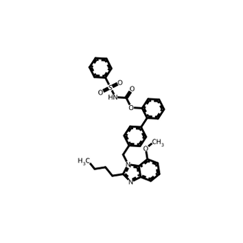 CCCCc1nc2cccc(OC)c2n1Cc1ccc(-c2ccccc2OC(=O)NS(=O)(=O)c2ccccc2)cc1